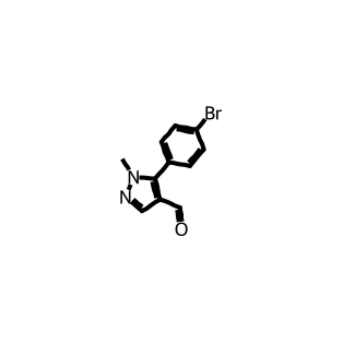 Cn1ncc(C=O)c1-c1ccc(Br)cc1